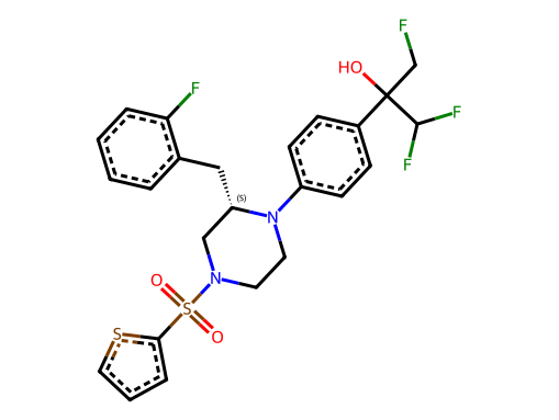 O=S(=O)(c1cccs1)N1CCN(c2ccc(C(O)(CF)C(F)F)cc2)[C@@H](Cc2ccccc2F)C1